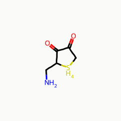 NCC1[SH4]CC(=O)C1=O